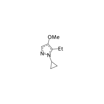 CCc1c(OC)cnn1C1CC1